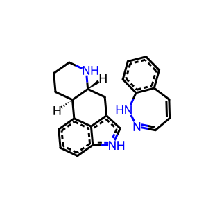 C1=Cc2ccccc2NN=C1.c1cc2c3c(c[nH]c3c1)C[C@H]1NCCC[C@H]21